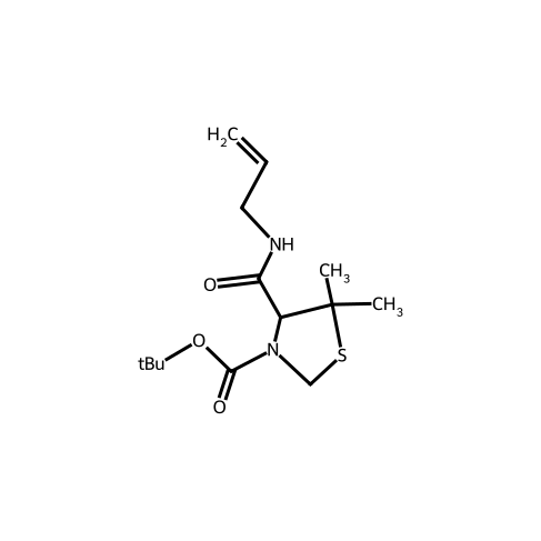 C=CCNC(=O)C1N(C(=O)OC(C)(C)C)CSC1(C)C